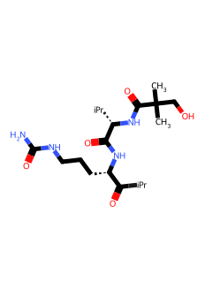 CC(C)C(=O)[C@H](CCCNC(N)=O)NC(=O)[C@@H](NC(=O)C(C)(C)CO)C(C)C